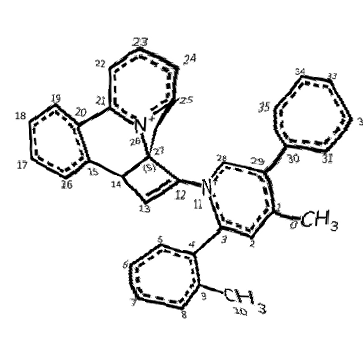 Cc1cc(-c2ccccc2C)[n+](C2=CC3c4ccccc4-c4cccc5[n+]4[C@@]253)cc1-c1ccccc1